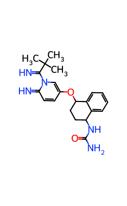 CC(C)(C)C(=N)n1cc(OC2CCC(NC(N)=O)c3ccccc32)ccc1=N